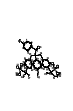 O=C(c1ccc(F)cc1)C(Cc1ccc(C(F)(F)P(=O)(O)O)cc1)(Cc1ccc(C(F)(CF)P(=O)(O)O)cc1)c1ccc(F)cc1